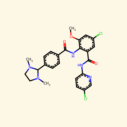 COc1cc(Cl)cc(C(=O)Nc2ccc(Cl)cn2)c1NC(=O)c1ccc(C2N(C)CCN2C)cc1